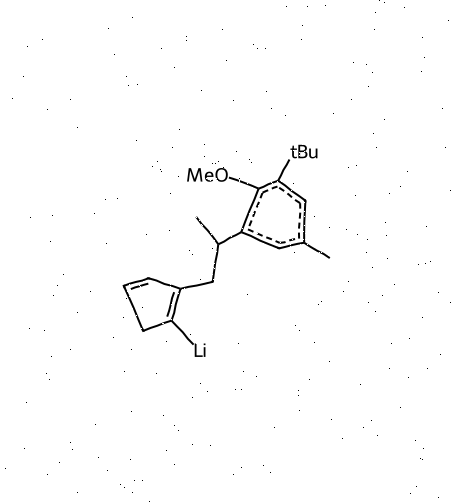 [Li][C]1=C(CC(C)c2cc(C)cc(C(C)(C)C)c2OC)C=CC1